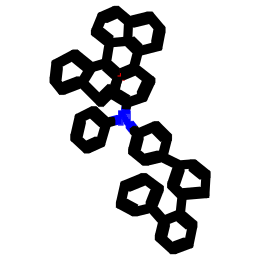 c1ccc(-c2ccccc2-c2cccc(-c3ccc(N(c4ccccc4)c4ccc(-c5cccc6cccc(-c7cccc8ccccc78)c56)cc4)cc3)c2)cc1